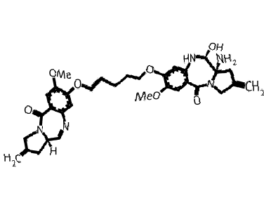 C=C1C[C@H]2C=Nc3cc(OCCCCCOc4cc5c(cc4OC)C(=O)N4CC(=C)C[C@@]4(N)[C@H](O)N5)c(OC)cc3C(=O)N2C1